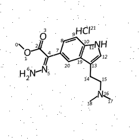 COC(=O)C(=NN)c1ccc2[nH]cc(CCN(C)C)c2c1.Cl